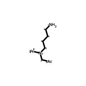 CC(=O)CN(CCCCN)C(C)C